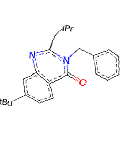 CC(C)Cc1nc2cc(C(C)(C)C)ccc2c(=O)n1Cc1ccccc1